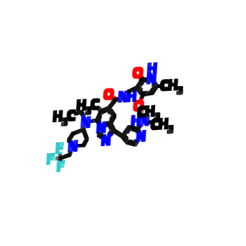 CCN(c1c(C)c(C(=O)NCc2c(OC)cc(C)[nH]c2=O)cc2c(-c3ccnc(NC)c3)ncn12)C1CCN(CC(F)(F)F)CC1